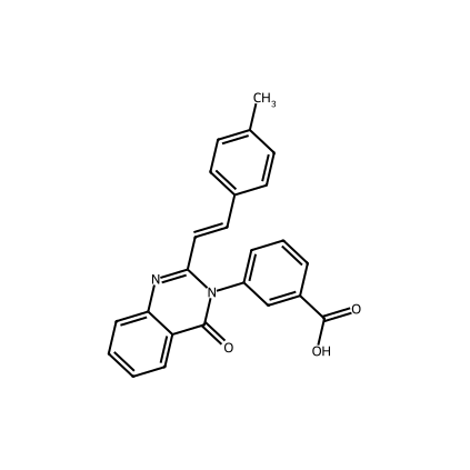 Cc1ccc(/C=C/c2nc3ccccc3c(=O)n2-c2cccc(C(=O)O)c2)cc1